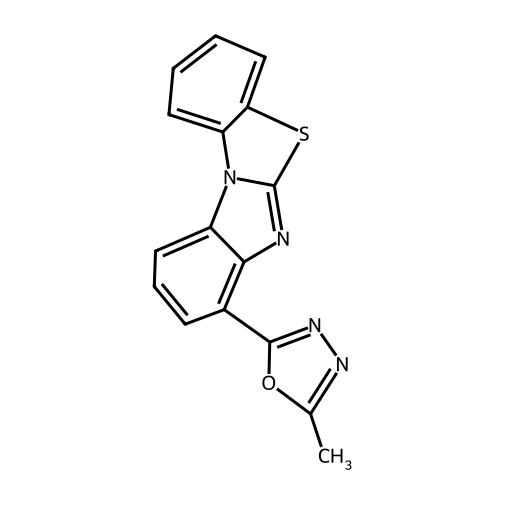 Cc1nnc(-c2cccc3c2nc2sc4ccccc4n23)o1